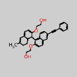 CC1=CC2=CC=C(OCCO)C(c3c(OCCO)ccc4cc(C#Cc5ccccc5)ccc34)C2CC1